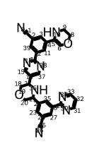 N#Cc1cc(C2=COCCN2)cc(-c2ncc(C3COCC(c4cc(C#N)cc(-c5ncccn5)c4)N3)cn2)c1